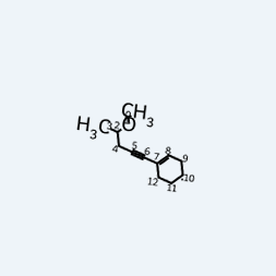 COC(C)CC#CC1=CC[CH]CC1